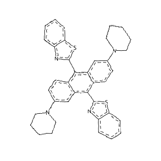 c1ccc2sc(-c3c4ccc(N5CCCCC5)cc4c(-c4nc5ccccc5s4)c4ccc(N5CCCCC5)cc34)nc2c1